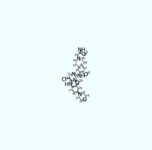 COc1cc2c(cc1Nc1ncc(Cl)c(Nc3ccc(N4CCOCC4)cc3OC)n1)CCN(CC(N)=O)CC2